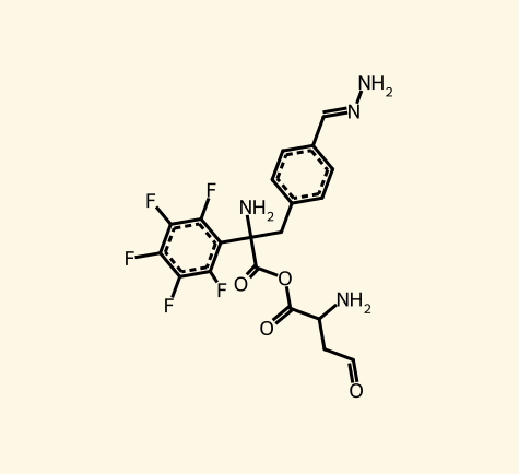 NN=Cc1ccc(CC(N)(C(=O)OC(=O)C(N)CC=O)c2c(F)c(F)c(F)c(F)c2F)cc1